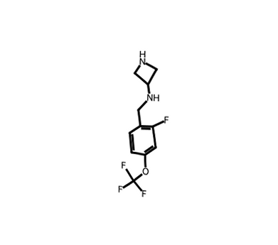 Fc1cc(OC(F)(F)F)ccc1CNC1CNC1